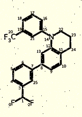 FC(F)c1cccc(-c2ccc3c(c2)N(c2cccc(C(F)(F)F)c2)CCC3)c1